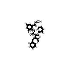 Cc1nn(-c2ncccc2Cl)c(C(=O)Nc2c(F)cc(F)cc2C=NO)c1Cc1ccccc1